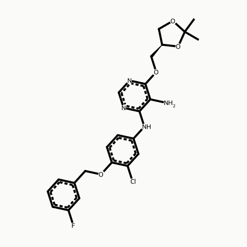 CC1(C)OC[C@H](COc2ncnc(Nc3ccc(OCc4cccc(F)c4)c(Cl)c3)c2N)O1